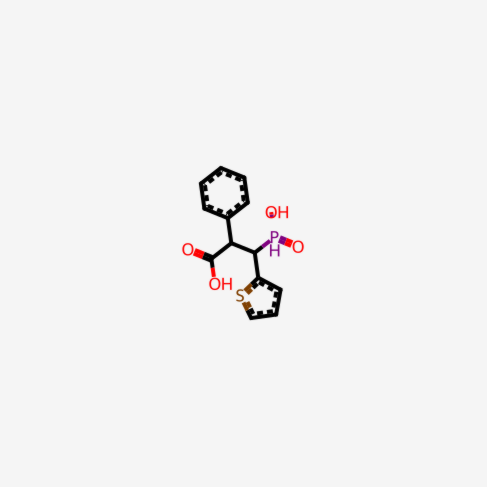 O=C(O)C(c1ccccc1)C(c1cccs1)[PH](=O)O